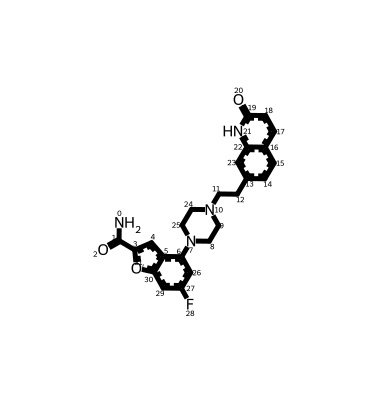 NC(=O)c1cc2c(N3CCN(CCc4ccc5ccc(=O)[nH]c5c4)CC3)cc(F)cc2o1